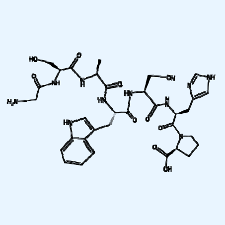 C[C@H](NC(=O)[C@H](CO)NC(=O)CN)C(=O)N[C@@H](Cc1c[nH]c2ccccc12)C(=O)N[C@@H](CO)C(=O)N[C@@H](Cc1c[nH]cn1)C(=O)N1CCC[C@H]1C(=O)O